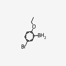 Bc1cc(Br)ccc1OCC